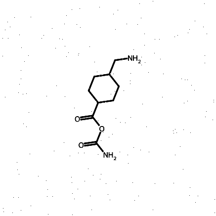 NCC1CCC(C(=O)OC(N)=O)CC1